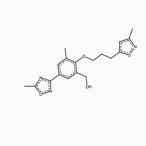 Cc1cc(CCCOc2c(C)cc(-c3noc(C)n3)cc2CO)on1